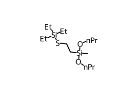 CCCO[Si](C)(CCS[Si](CC)(CC)CC)OCCC